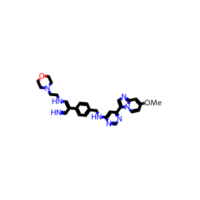 COc1ccn2c(-c3cc(NCc4ccc(/C(C=N)=C/NCCN5CCOCC5)cc4)ncn3)cnc2c1